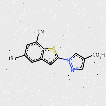 CC(C)(C)c1cc(C#N)c2sc(-n3cc(C(=O)O)cn3)cc2c1